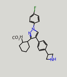 O=C(O)C1CCCCC1c1nn(-c2ccc(F)cc2)cc1-c1ccc(C2CNC2)cc1